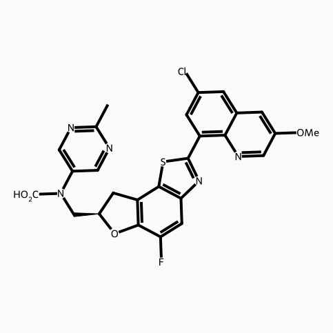 COc1cnc2c(-c3nc4cc(F)c5c(c4s3)C[C@H](CN(C(=O)O)c3cnc(C)nc3)O5)cc(Cl)cc2c1